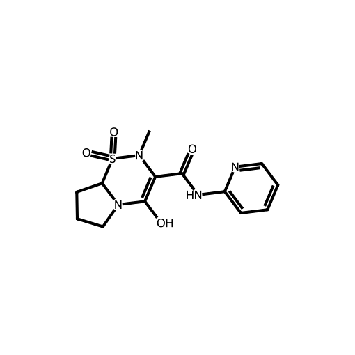 CN1C(C(=O)Nc2ccccn2)=C(O)N2CCCC2S1(=O)=O